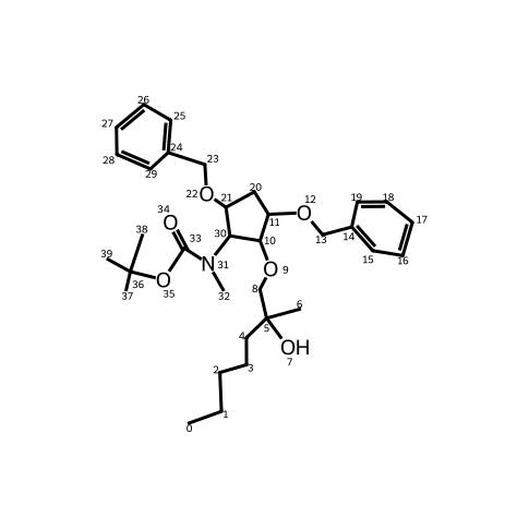 CCCCCC(C)(O)COC1C(OCc2ccccc2)CC(OCc2ccccc2)C1N(C)C(=O)OC(C)(C)C